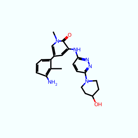 Cc1c(N)cccc1-c1cc(Nc2ccc(N3CCC(O)CC3)nn2)c(=O)n(C)c1